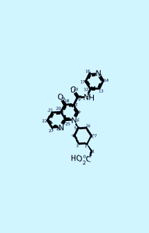 O=C(O)C[C@H]1CC[C@@H](n2cc(C(=O)Nc3ccncc3)c(=O)c3cccnc32)CC1